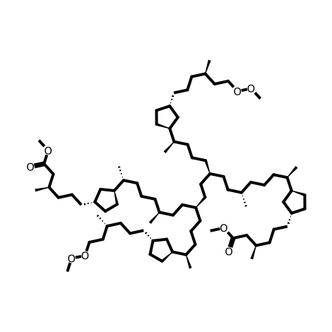 COOCC[C@H](C)CCC[C@H]1CC[C@H]([C@H](C)CCC[C@@H](CC[C@@H](C)CCC[C@@H](C)[C@H]2CC[C@H](CCC[C@@H](C)CC(=O)OC)C2)CC[C@@H](CCC[C@@H](C)[C@H]2CC[C@H](CCC[C@@H](C)CCOOC)C2)CC[C@@H](C)CCC[C@@H](C)[C@H]2CC[C@H](CCC[C@@H](C)CC(=O)OC)C2)C1